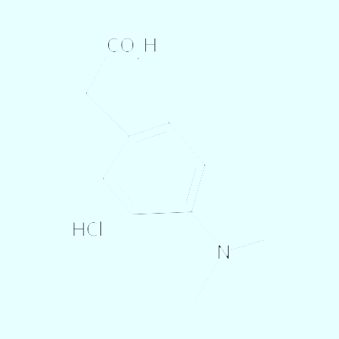 CN(C)c1ccc(CC(=O)O)cc1.Cl